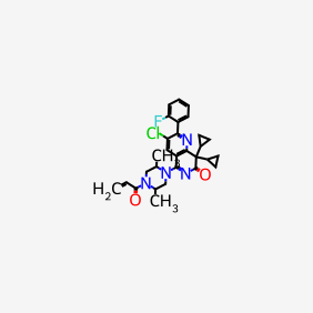 C=CC(=O)N1CC(C)N(C2=NC(=O)C(C3CC3)(C3CC3)c3nc(-c4ccccc4F)c(Cl)cc32)CC1C